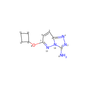 Nc1nnc2ccc(OC3CCC3)nn12